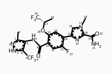 Cc1n[nH]c(C(F)(F)F)c1NC(=O)c1cc(F)c(-c2cn(C)c(C(N)=O)n2)cc1O[C@@H](C)C(F)(F)F